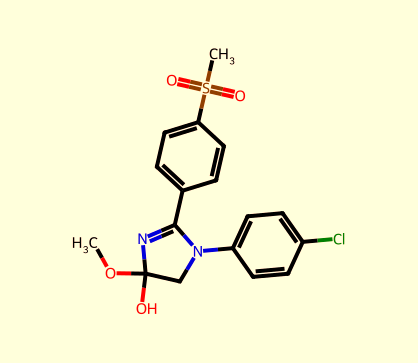 COC1(O)CN(c2ccc(Cl)cc2)C(c2ccc(S(C)(=O)=O)cc2)=N1